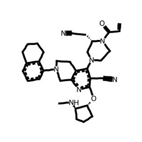 C=CC(=O)N1CCN(c2c(C#N)c(O[C@@H]3CCC[C@H]3NC)nc3c2CCN(c2cccc4c2CCCC4)C3)C[C@@H]1CC#N